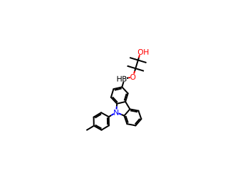 Cc1ccc(-n2c3ccccc3c3cc(BOC(C)(C)C(C)(C)O)ccc32)cc1